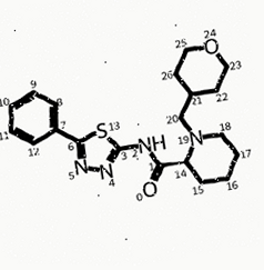 O=C(Nc1nnc(-c2ccccc2)s1)[C@@H]1CCCCN1CC1CCOCC1